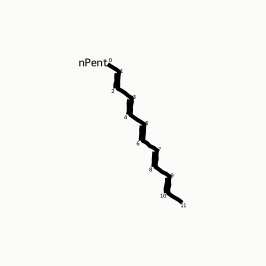 [CH2]CCCCC=CC=CC=CC=CC=CC